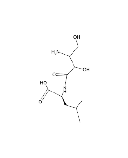 CC(C)C[C@H](NC(=O)C(O)C(N)CO)C(=O)O